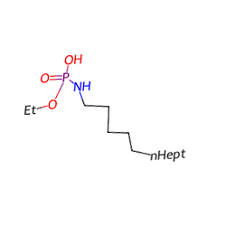 CCCCCCCCCCCCNP(=O)(O)OCC